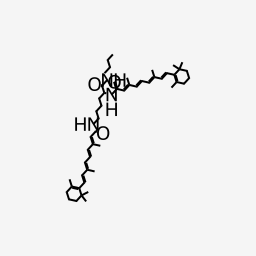 CCCCNC(=O)C(CCCCNC(=O)/C=C(C)/C=C/C=C(C)/C=C/C1=C(C)CCCC1(C)C)NC(=O)/C=C(C)/C=C/C=C(C)/C=C/C1=C(C)CCCC1(C)C